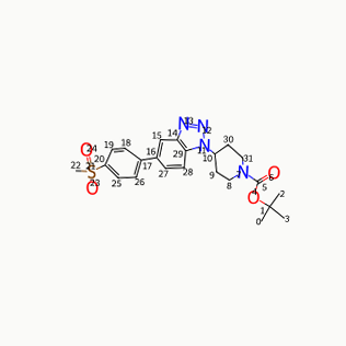 CC(C)(C)OC(=O)N1CCC(n2nnc3cc(-c4ccc(S(C)(=O)=O)cc4)ccc32)CC1